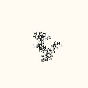 CN1CC(Cn2nc(-c3cnc4[nH]cc(OC(=O)NC(C)(C)C)c4n3)c3cc(OC(F)F)ccc32)C1